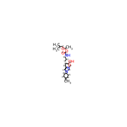 CC(C)CO[C@@H](C)OC(=O)NCCC[C@@H](Cc1cn(C2CCC(C)CC2)cn1)C(=O)O